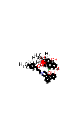 CC(C)(C(=O)O)c1ccc(C(O)CCCN2CCC(C(O)(c3ccccc3)c3ccccc3)CC2)cc1.CC1(C)O[C@@H]2C[C@H]3[C@@H]4C[C@H](F)C5=CC(=O)C=C[C@]5(C)[C@H]4[C@@H](O)C[C@]3(C)[C@]2(C(=O)CO)O1